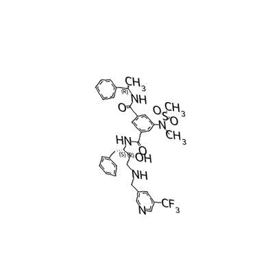 C[C@@H](NC(=O)c1cc(C(=O)N[C@@H](Cc2ccccc2)[C@H](O)CNCc2cncc(C(F)(F)F)c2)cc(N(C)S(C)(=O)=O)c1)c1ccccc1